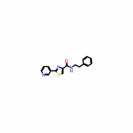 O=C(NCCc1ccccc1)c1csc(-c2cccnc2)n1